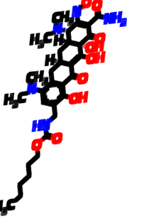 CCCCCCOC(=O)NCc1cc(N(C)C)c2c(c1O)C(=O)C1=C(O)[C@]3(O)C(=O)C(C(N)=O)=C(N=O)[C@@H](N(C)C)[C@@H]3C[C@@H]1C2